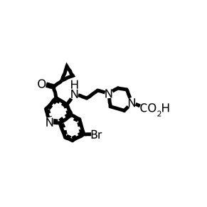 O=C(c1cnc2ccc(Br)cc2c1NCCN1CCN(C(=O)O)CC1)C1CC1